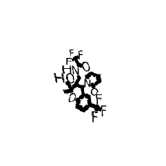 CC1(C)Oc2ccc(C(F)(F)F)cc2C(n2ccccc2=O)C1(O)CNC(=O)C(F)(F)F